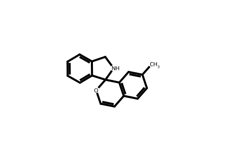 Cc1ccc2c(c1)C1(NCc3ccccc31)OC=C2